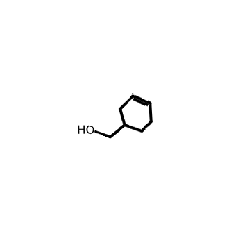 OCC1C[C]=CCC1